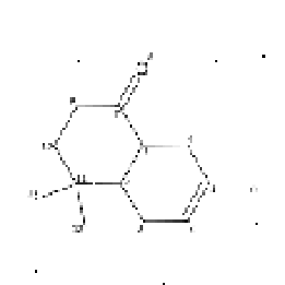 CC1=CCC2C(C1)C(=O)CCC2(C)C